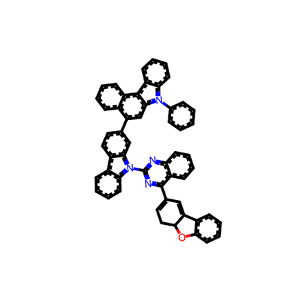 C1=C(c2nc(-n3c4ccccc4c4ccc(-c5cc6c(c7ccccc57)c5ccccc5n6-c5ccccc5)cc43)nc3ccccc23)C=C2c3ccccc3OC2C1